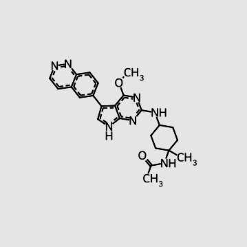 COc1nc(NC2CCC(C)(NC(C)=O)CC2)nc2[nH]cc(-c3ccc4nnccc4c3)c12